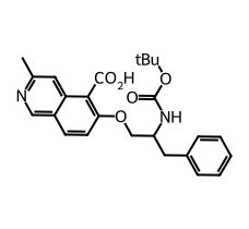 Cc1cc2c(C(=O)O)c(OCC(Cc3ccccc3)NC(=O)OC(C)(C)C)ccc2cn1